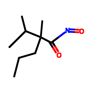 CCCC(C)(C(=O)N=O)C(C)C